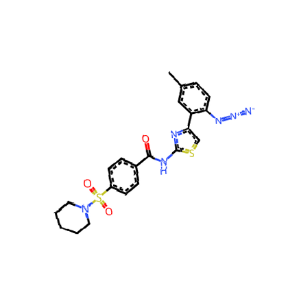 Cc1ccc(N=[N+]=[N-])c(-c2csc(NC(=O)c3ccc(S(=O)(=O)N4CCCCC4)cc3)n2)c1